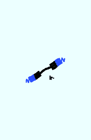 N#CC#N.[Ir]